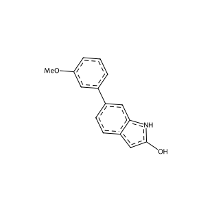 COc1cccc(-c2ccc3cc(O)[nH]c3c2)c1